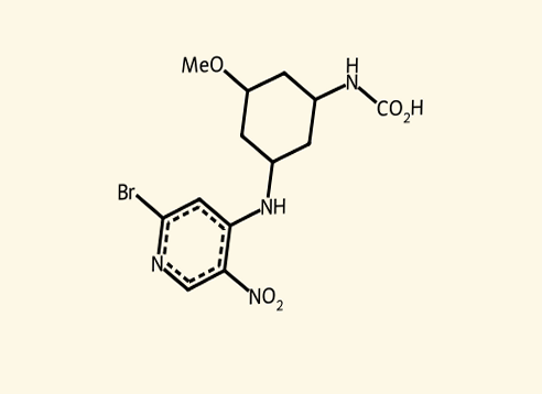 COC1CC(NC(=O)O)CC(Nc2cc(Br)ncc2[N+](=O)[O-])C1